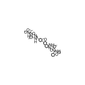 COC(=O)N[C@H](C(=O)N1C[C@@H](C)C[C@H]1c1ncc(-c2ccc3c(c2)COc2cc4c(ccc5nc([C@@H]6C[C@H](C)CN6C(=O)[C@H](NC(=O)OC)c6ccccc6)[nH]c54)cc2-3)[nH]1)C(C)C